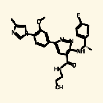 COc1cc(-c2cc(C(=O)NCCO)c(N[C@@H](C)c3ccc(F)cc3)nn2)ccc1-n1cnc(C)c1